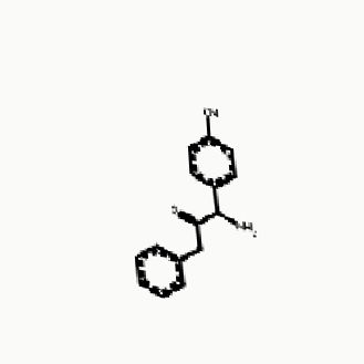 N#Cc1ccc(C(N)C(=O)Cc2ccccc2)cc1